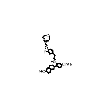 COc1ccc(C2CCc3cc(O)ccc3C2)c(NCCCc2ccc(OCCN3CCCCCCC3)c(F)c2)c1